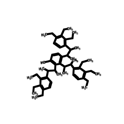 CCc1ccc(C(C)C(C)c2ccc(O)c(C(C)C(C)c3ccc(CC)c(CC)c3CC)c2C(C)C(C)c2ccc(CC)c(CC)c2CC)c(CC)c1CC